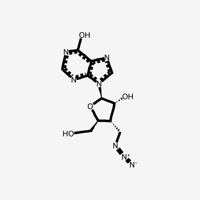 [N-]=[N+]=NC[C@H]1[C@@H](O)[C@H](n2cnc3c(O)ncnc32)O[C@@H]1CO